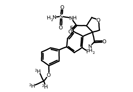 [2H]C([2H])([2H])Oc1cccc(-c2cc(F)c(C3(C(N)=O)COCC3C(=O)NS(N)(=O)=O)c(F)c2)c1